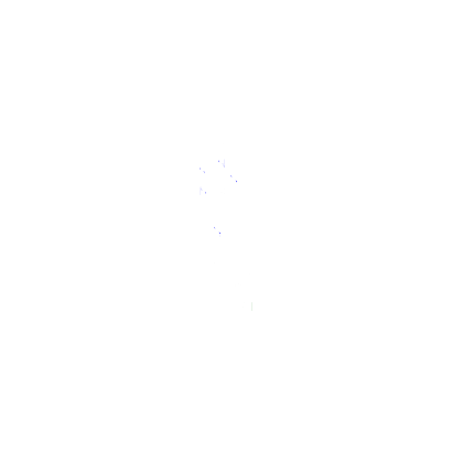 Cn1nnc(CNc2ccc(Cl)cc2)n1